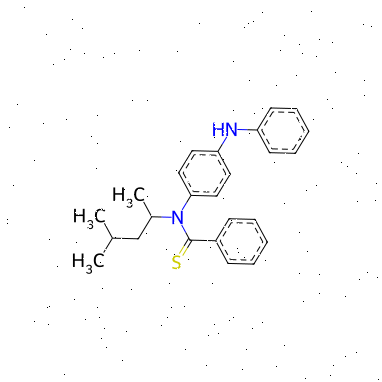 CC(C)CC(C)N(C(=S)c1ccccc1)c1ccc(Nc2ccccc2)cc1